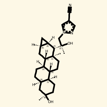 C[C@@]1(O)CC[C@H]2[C@H](CC[C@@H]3[C@@H]2CC[C@@]2(C)[C@H]3C[C@H]3C[C@H]3[C@@H]2[C@](C)(O)Cn2cc(C#N)cn2)C1